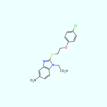 O=C(O)Cn1c(SCCOc2ccc(Cl)cc2)nc2cc([N+](=O)[O-])ccc21